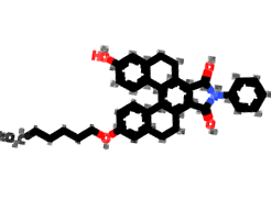 CCOC(=O)CCCCCOc1ccc2c(c1)CCc1c3c(c4c(c1-2)-c1ccc(O)cc1CC4)C(=O)N(c1ccccc1)C3=O